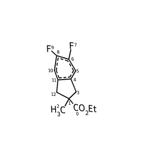 CCOC(=O)C1(C)Cc2cc(F)c(F)cc2C1